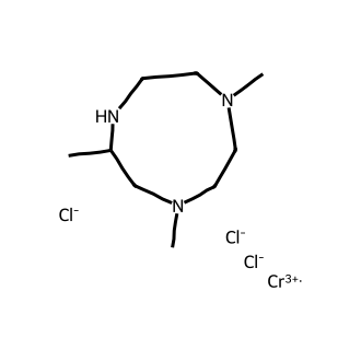 CC1CN(C)CCN(C)CCN1.[Cl-].[Cl-].[Cl-].[Cr+3]